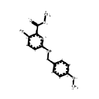 COC(=O)c1nc(NCc2ccc(OC)cc2)ccc1F